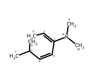 C/C=C(\C=C/C(C)C)N(C)C